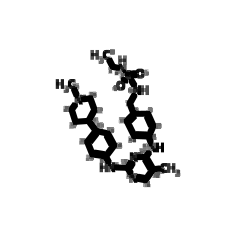 CCNS(=O)(=O)NCc1ccc(Nc2nc(Nc3ccc(C4CCN(C)CC4)cc3)ncc2C)cc1